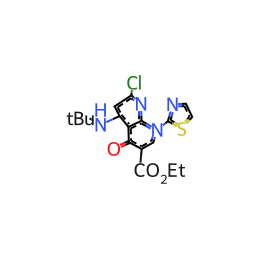 CCOC(=O)c1cn(-c2nccs2)c2nc(Cl)cc(NC(C)(C)C)c2c1=O